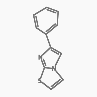 c1ccc(-c2cn3ccsc3n2)cc1